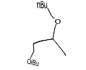 CCCCOC(C)COCC(C)C